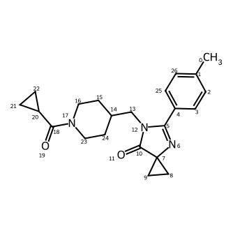 Cc1ccc(C2=NC3(CC3)C(=O)N2CC2CCN(C(=O)C3CC3)CC2)cc1